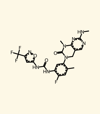 CNc1ncc2c(n1)N(C)C(=O)N(c1cc(NC(=O)Nc3cc(C(F)(F)F)no3)c(F)cc1C)C2